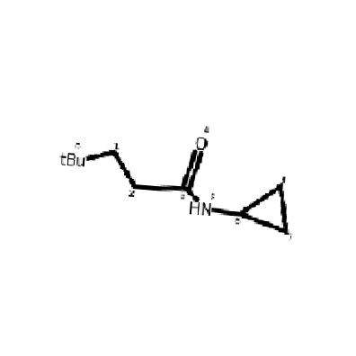 CC(C)(C)CCC(=O)NC1CC1